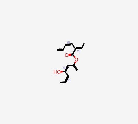 C=C/C=C\C(=C/C)C(=O)OC(=C)/C=C(O)\C=C/C